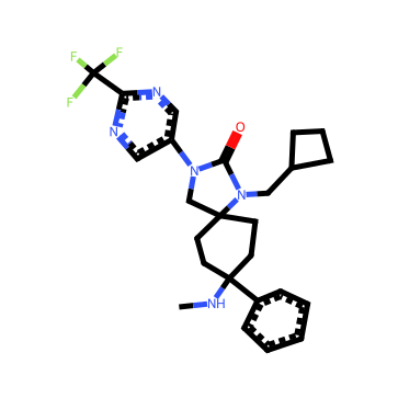 CNC1(c2ccccc2)CCC2(CC1)CN(c1cnc(C(F)(F)F)nc1)C(=O)N2CC1CCC1